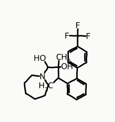 CC(c1ccccc1-c1ccc(C(F)(F)F)cc1)C(C)(O)C(O)N1CCCCCC1